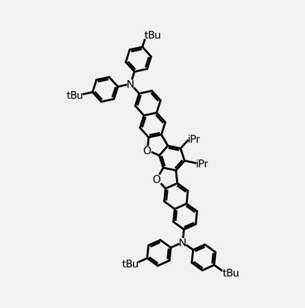 CC(C)c1c(C(C)C)c2c3cc4ccc(N(c5ccc(C(C)(C)C)cc5)c5ccc(C(C)(C)C)cc5)cc4cc3oc2c2oc3cc4cc(N(c5ccc(C(C)(C)C)cc5)c5ccc(C(C)(C)C)cc5)ccc4cc3c12